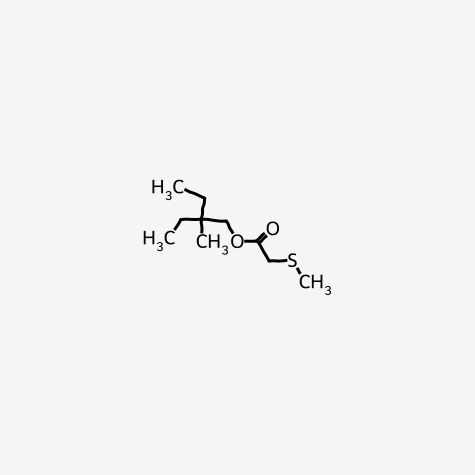 CCC(C)(CC)COC(=O)CSC